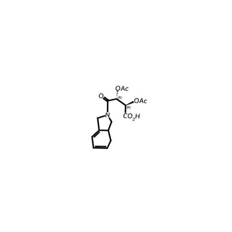 CC(=O)O[C@@H](C(=O)O)[C@@H](OC(C)=O)C(=O)N1CC2=CC=CCC2C1